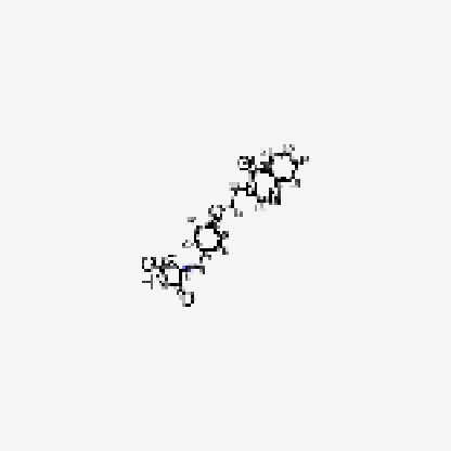 O=C1NC(=O)/C(=C/c2ccc(OCCn3cnc4ccccc4c3=O)cc2)S1